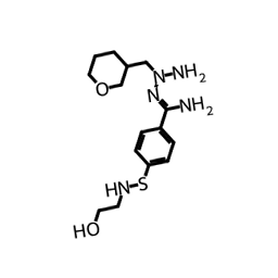 N/C(=N\N(N)CC1CCCOC1)c1ccc(SNCCO)cc1